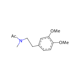 COc1ccc(CCN(C)C(C)=O)cc1OC